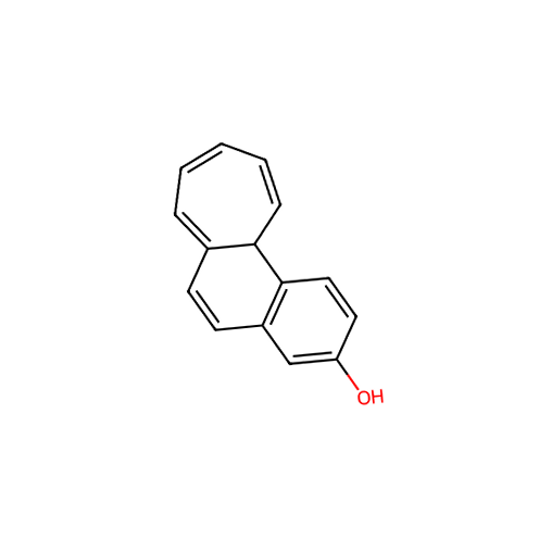 Oc1ccc2c(c1)C=CC1=CC=CC=CC12